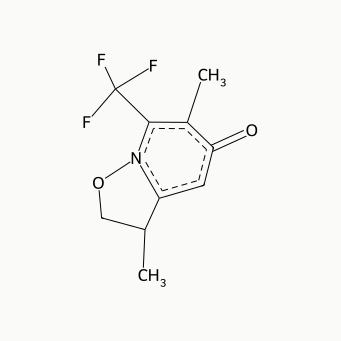 Cc1c(C(F)(F)F)n2c(cc1=O)C(C)CO2